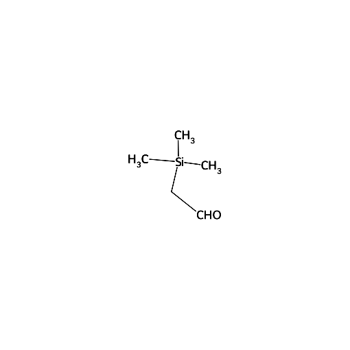 C[Si](C)(C)CC=O